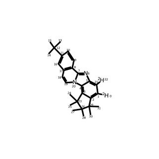 [2H]c1c2c(c3c(nc4c5ccc(C(C)(C)C)cc5ccn43)c1[2H])C(C)(C)C(C)(C)C2(C)C